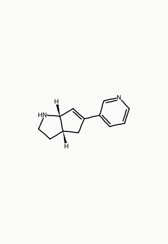 C1=C(c2cccnc2)C[C@@H]2CCN[C@H]12